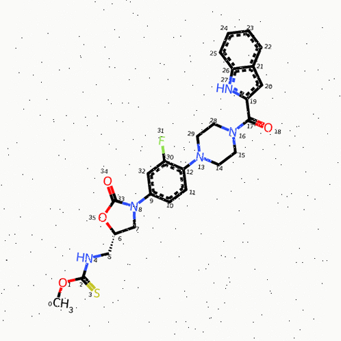 COC(=S)NC[C@H]1CN(c2ccc(N3CCN(C(=O)c4cc5ccccc5[nH]4)CC3)c(F)c2)C(=O)O1